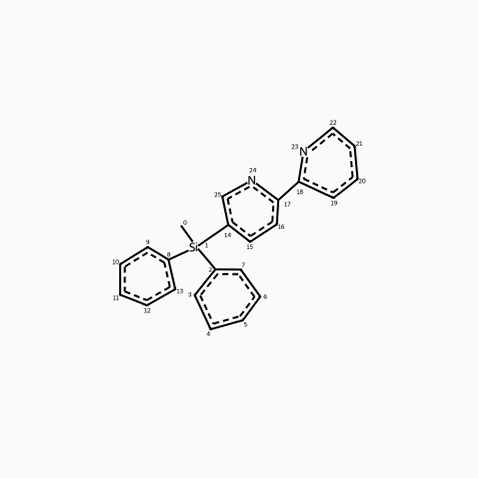 C[Si](c1ccccc1)(c1ccccc1)c1ccc(-c2ccccn2)nc1